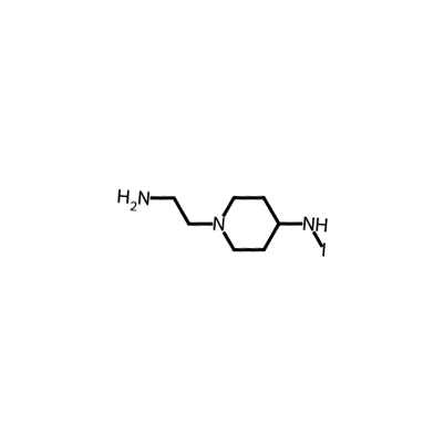 NCCN1CCC(NI)CC1